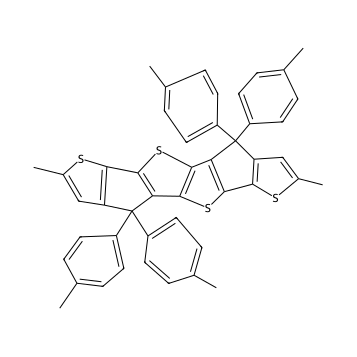 Cc1ccc(C2(c3ccc(C)cc3)c3cc(C)sc3-c3sc4c5c(sc4c32)-c2sc(C)cc2C5(c2ccc(C)cc2)c2ccc(C)cc2)cc1